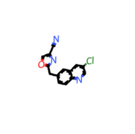 N#Cc1coc(Cc2ccc3ncc(Cl)cc3c2)n1